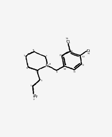 CC(C)CCC1CCCCN1Cc1ccc(Cl)c(Cl)c1